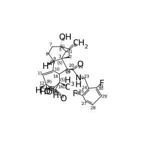 C=C1C[C@]23C[C@@]1(O)CC[C@H]2C1=C[C@H]2OC(=O)[C@@](C)(C1[C@@H]3C(=O)NCc1c(F)cccc1F)[C@H]2O